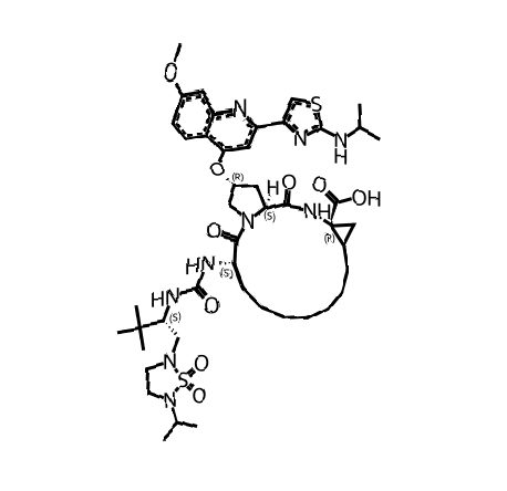 COc1ccc2c(O[C@@H]3C[C@H]4C(=O)N[C@]5(C(=O)O)CC5CCCCCCC[C@H](NC(=O)N[C@H](CN5CCN(C(C)C)S5(=O)=O)C(C)(C)C)C(=O)N4C3)cc(-c3csc(NC(C)C)n3)nc2c1